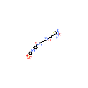 O=C(CCCC[C@H]1SCC2NC(=O)NC21)NCCCCCCNC(=O)c1ccc(/N=N/c2ccc(S(=O)(=O)O)cc2)cc1